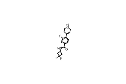 O=C(NC1CC(F)(F)C1)c1ccc(C2=CCNCC2)c(F)n1